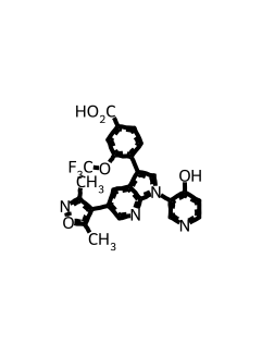 Cc1noc(C)c1-c1cnc2c(c1)c(-c1ccc(C(=O)O)cc1OC(F)(F)F)cn2-c1cnccc1O